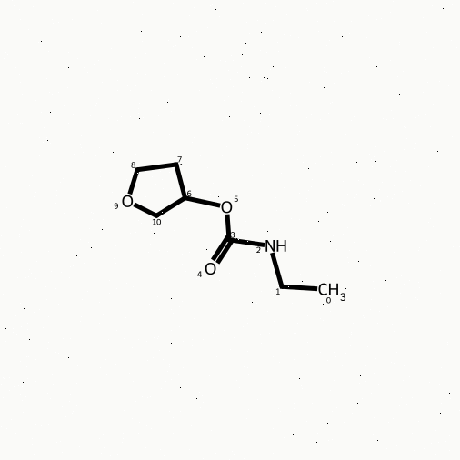 CCNC(=O)OC1[CH]COC1